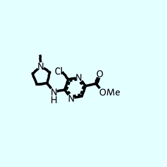 COC(=O)c1cnc(NC2CCN(C)C2)c(Cl)n1